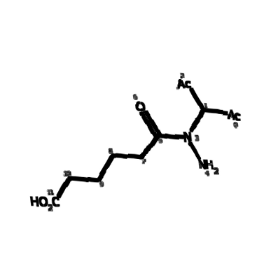 CC(=O)C(C(C)=O)N(N)C(=O)CCCCC(=O)O